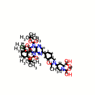 CC(=O)N(Cc1ccc(-c2cnc(N(C(=O)OC(C)(C)C)C(=O)OC(C)(C)C)c(N(Cc3c(Cl)cccc3Cl)C(=O)OC(C)(C)C)n2)cc1)C1CCN(C(=O)O)[C@@H](C(=O)O)C1